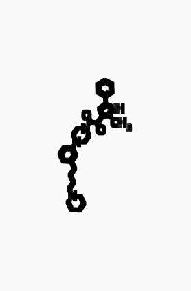 Cc1[nH]c(-c2ccccc2)cc1C(=O)C(=O)N1CCN(c2cccc(CCCCN3CCCCC3)c2)CC1